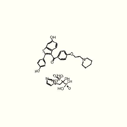 O=C(c1ccc(OCCN2CCCCC2)cc1)c1c(-c2ccc(O)cc2)sc2cc(O)ccc12.O=P(O)(O)C(O)(Cn1ccnc1)P(=O)(O)O